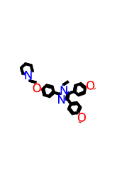 CCn1c(-c2ccc(OCCN3CCCCC3)cc2)nc(-c2ccc(OC)cc2)c1-c1ccc(OC)cc1